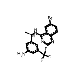 C[C@@H](Nc1ncnc2ccc(Br)cc12)c1cc(N)cc(C(F)(F)F)c1